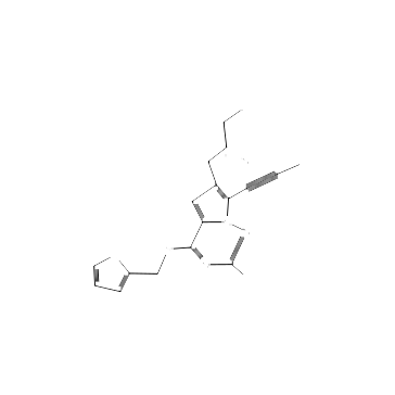 CC#Cc1c(C[C@@H](N)CF)cc2c(NCc3cccs3)nc(Cl)nn12